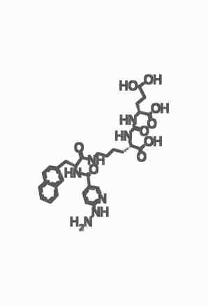 NNc1ccc(C(=O)N[C@@H](Cc2ccc3ccccc3c2)C(=O)NCCCC[C@H](NC(=O)N[C@@H](CCC(O)O)C(=O)O)C(=O)O)cn1